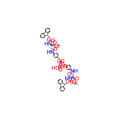 CC(C)(C)OC(=O)[C@H](CC(=O)Nc1ccc(COP(=O)(CP(=O)(O)O)OCc2ccc(NC(=O)C[C@H](NC(=O)OCC3c4ccccc4-c4ccccc43)C(=O)OC(C)(C)C)cc2)cc1)NC(=O)OCC1c2ccccc2-c2ccccc21